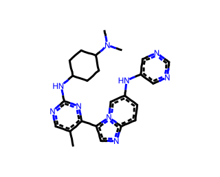 Cc1cnc(NC2CCC(N(C)C)CC2)nc1-c1cnc2ccc(Nc3cncnc3)cn12